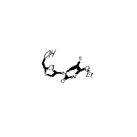 CCOc1nc(=O)n(C2CSC(CO)O2)cc1F